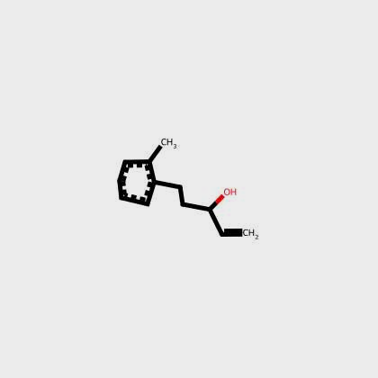 C=CC(O)CCc1ccccc1C